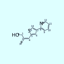 OC/C(F)=C\c1cc(-c2ccccn2)cs1